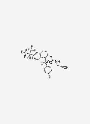 C#CCNC(=O)C[C@@H]1CCc2cc(C(O)(C(F)(F)F)C(F)(F)F)ccc2N1S(=O)(=O)c1ccc(F)cc1